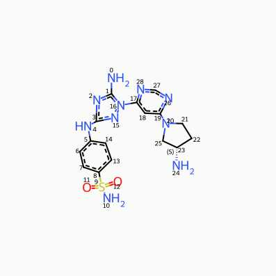 Nc1nc(Nc2ccc(S(N)(=O)=O)cc2)nn1-c1cc(N2CC[C@H](N)C2)ncn1